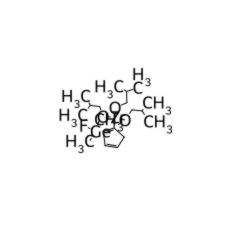 CC(C)C[O][Zr]([O]CC(C)C)([O]CC(C)C)[C]1=[C]([Ge]([CH3])([CH3])[F])C=CC1